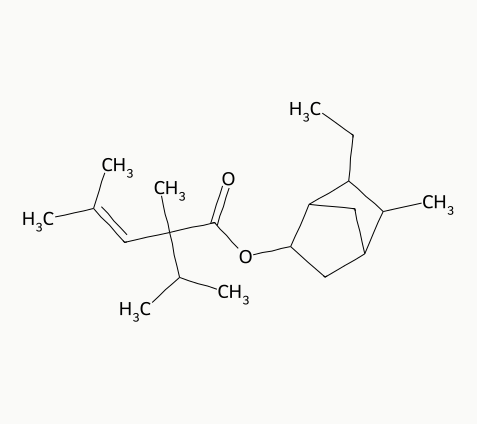 CCC1C(C)C2CC(OC(=O)C(C)(C=C(C)C)C(C)C)C1C2